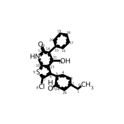 CCc1ccc(-c2c(Cl)sc3[nH]c(=O)c(-c4ccccc4)c(O)c23)c(O)c1